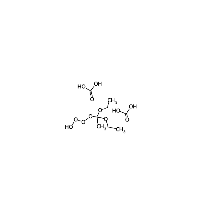 CCOC(C)(OCC)OOOO.O=C(O)O.O=C(O)O